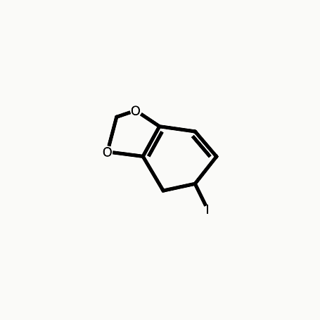 IC1C=CC2=C(C1)OCO2